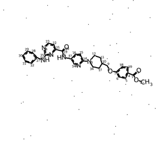 COC(=O)c1ccc(OCC2CCN(c3ccc(NC(=O)c4ccnc(Nc5ccccc5)n4)cn3)CC2)cc1